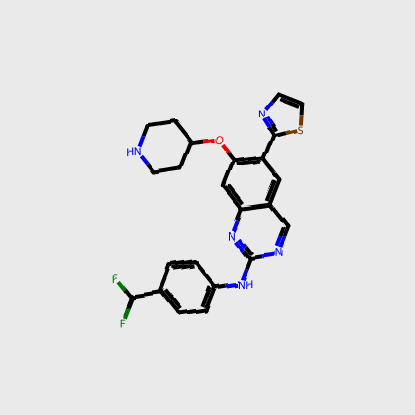 FC(F)c1ccc(Nc2ncc3cc(-c4nccs4)c(OC4CCNCC4)cc3n2)cc1